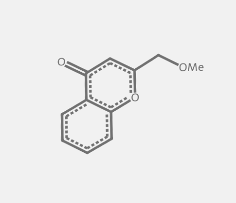 COCc1cc(=O)c2ccccc2o1